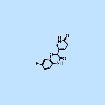 O=C1CC=C(C2Oc3cc(F)[c]cc3NC2=O)SN1